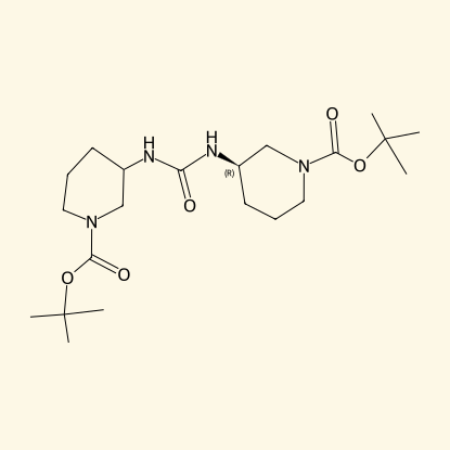 CC(C)(C)OC(=O)N1CCCC(NC(=O)N[C@@H]2CCCN(C(=O)OC(C)(C)C)C2)C1